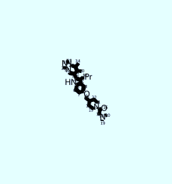 Cc1c(-c2[nH]c3ccc(OCC4CCN(C(=O)CN(C)C)CC4)cc3c2C(C)C)cn2cnnc2c1C